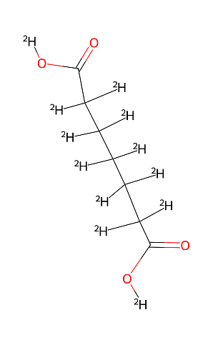 [2H]OC(=O)C([2H])([2H])C([2H])([2H])C([2H])([2H])C([2H])([2H])C([2H])([2H])C(=O)O[2H]